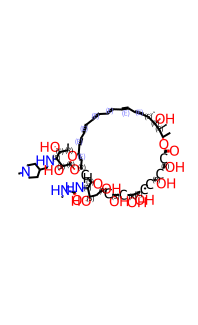 CNC(=O)N[C@H]1[C@@H]2C[C@@H](O[C@@H]3O[C@H](C)[C@@H](O)[C@H](NCC4CCN(C)CC4)[C@@H]3O)/C=C/C=C/C=C/C=C/C=C/C=C/C=C/[C@H](C)[C@@H](O)[C@@H](C)C(C)OC(=O)C[C@H](O)C[C@H](O)CC[C@@H](O)[C@H](O)C[C@H](O)C[C@](O)(C[C@@H]1O)O2